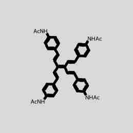 CC(=O)Nc1ccc(C=CC(C=Cc2ccc(NC(C)=O)cc2)=C(C=Cc2ccc(NC(C)=O)cc2)C=Cc2ccc(NC(C)=O)cc2)cc1